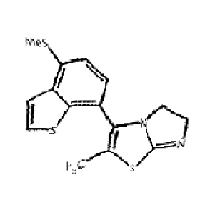 CSc1ccc(C2=C(C)SC3=NCCN32)c2sccc12